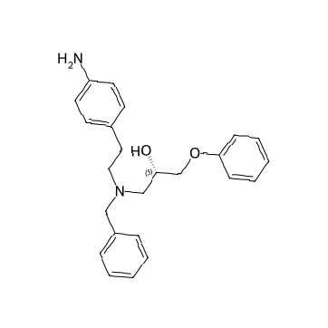 Nc1ccc(CCN(Cc2ccccc2)C[C@H](O)COc2ccccc2)cc1